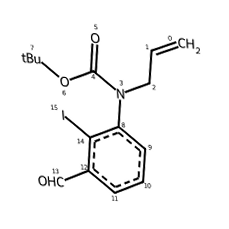 C=CCN(C(=O)OC(C)(C)C)c1cccc(C=O)c1I